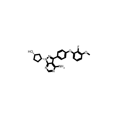 COc1cccc(Oc2ccc(-c3nn([C@@H]4CC[C@H](O)C4)c4ncnc(N)c34)cc2)c1F